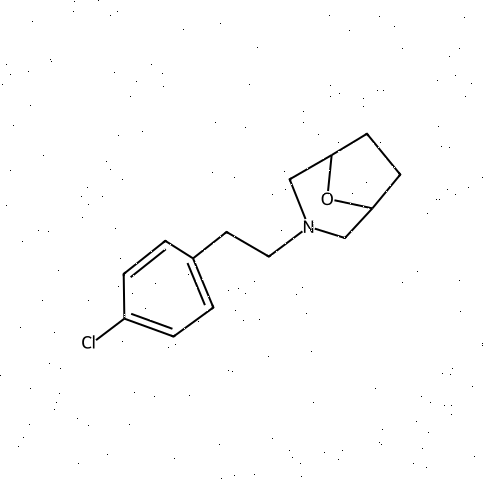 Clc1ccc(CCN2CC3CCC(C2)O3)cc1